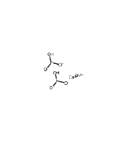 [Ca+2].[O-]P([O-])O.[O-]P([O-])O.[Zn+2]